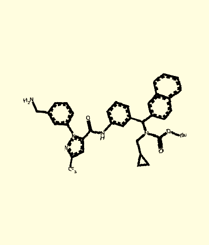 CC(C)(C)OC(=O)N(CC1CC1)C(c1cccc(NC(=O)c2cc(C(F)(F)F)nn2-c2cccc(CN)c2)c1)c1ccc2ccccc2c1